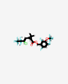 CC1(C)C(C=C(Cl)C(F)(F)C(F)(F)F)C1C(=O)OCc1c(F)cc(F)c(OC(F)(F)F)c1F